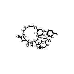 Cc1cccc(S(=O)(=O)N2CCN[C@@H](C[C@@H]3Cc4cc(F)cc(c4)OCCCCN4CC(CC4=O)C(=O)N3)C2=O)c1